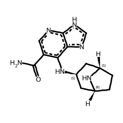 NC(=O)c1cnc2[nH]cnc2c1N[C@@H]1C[C@H]2CC[C@@H](C1)N2